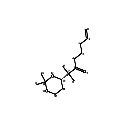 C=CCCCC(=O)C(C)(C)[C@@H]1CCOC(C)(C)O1